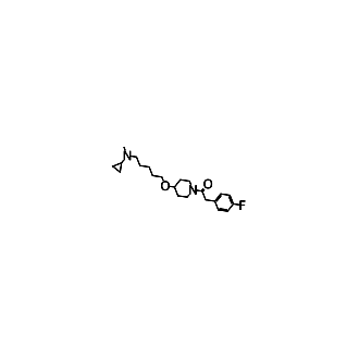 CN(CCCCCOC1CCN(C(=O)Cc2ccc(F)cc2)CC1)C1CC1